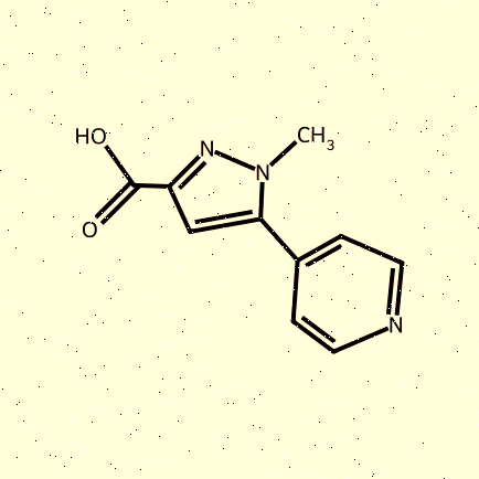 Cn1nc(C(=O)O)cc1-c1ccncc1